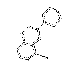 N#Cc1cccc2ncc(-c3ccccc3)cc12